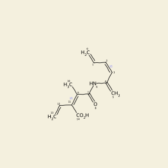 C=C/C=C\C(=C)NC(=O)/C(C)=C(/C=C)C(=O)O